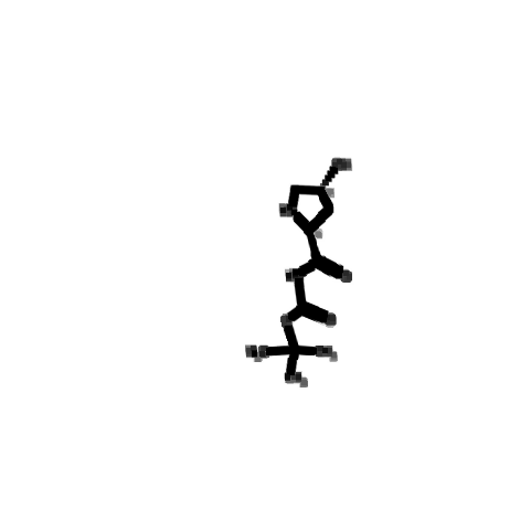 CC(C)(C)OC(=O)NC(=O)[C@@H]1C[C@@H](O)CN1